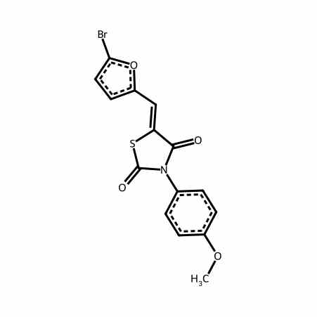 COc1ccc(N2C(=O)S/C(=C\c3ccc(Br)o3)C2=O)cc1